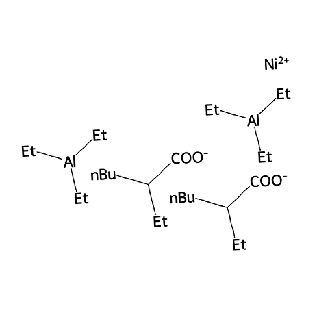 CCCCC(CC)C(=O)[O-].CCCCC(CC)C(=O)[O-].C[CH2][Al]([CH2]C)[CH2]C.C[CH2][Al]([CH2]C)[CH2]C.[Ni+2]